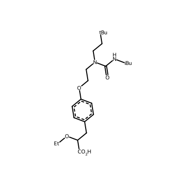 CCOC(Cc1ccc(OCCN(CCC(C)(C)C)C(=O)NC(C)CC)cc1)C(=O)O